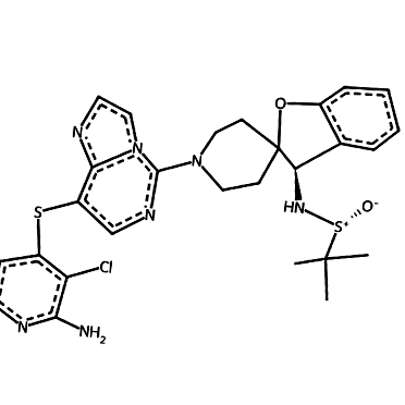 CC(C)(C)[S@@+]([O-])N[C@@H]1c2ccccc2OC12CCN(c1ncc(Sc3ccnc(N)c3Cl)c3nccn13)CC2